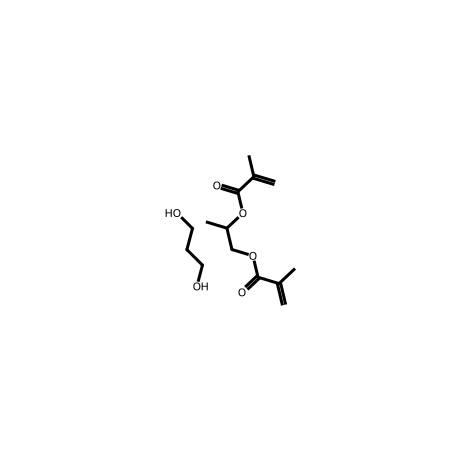 C=C(C)C(=O)OCC(C)OC(=O)C(=C)C.OCCCO